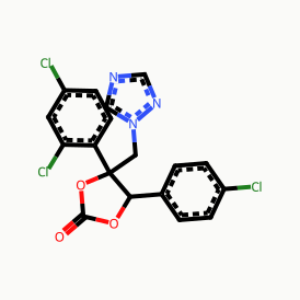 O=C1OC(c2ccc(Cl)cc2)C(Cn2cncn2)(c2ccc(Cl)cc2Cl)O1